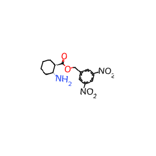 N[C@@H]1CCCC[C@H]1C(=O)OCc1cc([N+](=O)[O-])cc([N+](=O)[O-])c1